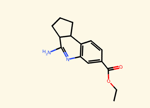 CCOC(=O)c1ccc2c(c1)N=C(N)C1CCCC21